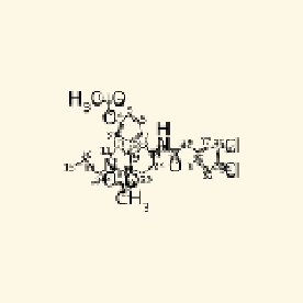 CC(=O)Oc1cccc([C@@]23CCN(CC4CC4)C[C@@]2(OC(C)=O)CC[C@@H](NC(=O)Cc2ccc(Cl)c(Cl)c2)C3)c1